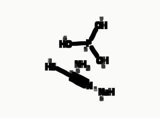 N.N#CS.OP(O)O.[NaH]